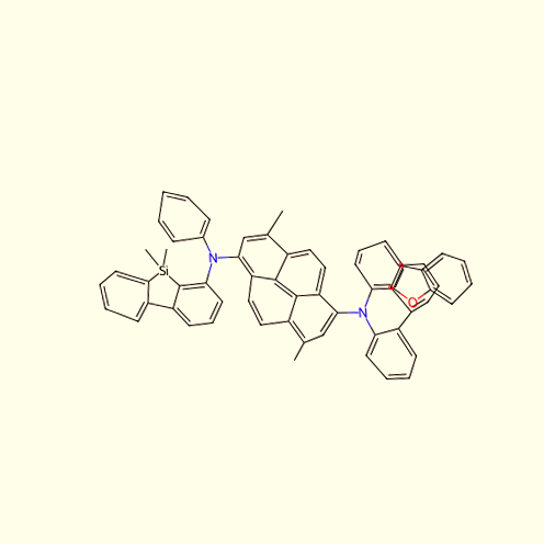 Cc1cc(N(c2ccccc2)c2cccc3c2[Si](C)(C)c2ccccc2-3)c2ccc3c(C)cc(N(c4ccccc4-c4ccccc4)c4cccc5c4oc4ccccc45)c4ccc1c2c34